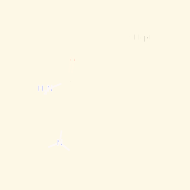 CCCCCCCCCCC(CCN(C)C)C(N)=O